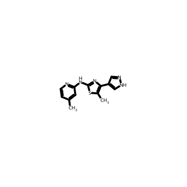 Cc1ccnc(Nc2nc(-c3cn[nH]c3)c(C)s2)c1